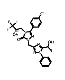 O=c1n(Cc2nc(C(O)I)n(-c3ccccc3)n2)nc(-c2ccc(Cl)cc2)n1C[C@H](O)C(F)(F)F